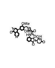 COc1cc(-c2cn(C)c(=O)c3cnccc23)cc(OC)c1CN1CC(C(=O)N(C)Nc2cccc3c2C(=O)N(C2CCC(=O)NC2=O)C3=O)C1